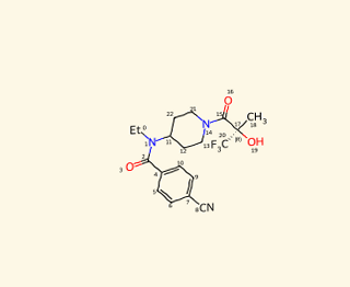 CCN(C(=O)c1ccc(C#N)cc1)C1CCN(C(=O)[C@@](C)(O)C(F)(F)F)CC1